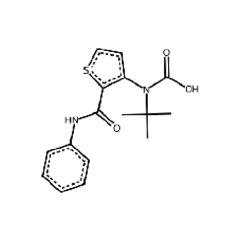 CC(C)(C)N(C(=O)O)c1ccsc1C(=O)Nc1ccccc1